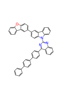 c1ccc(-c2ccc(-c3ccc(-c4nc(-n5c6ccccc6c6cc(-c7ccc8oc9ccccc9c8c7)ccc65)nc5ccccc45)cc3)cc2)cc1